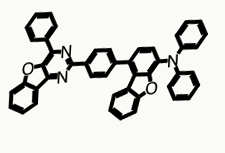 c1ccc(-c2nc(-c3ccc(-c4ccc(N(c5ccccc5)c5ccccc5)c5oc6ccccc6c45)cc3)nc3c2oc2ccccc23)cc1